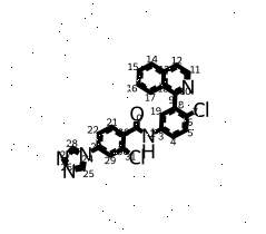 O=C(Nc1ccc(Cl)c(-c2nccc3ccccc23)c1)c1ccc(-n2cnnc2)cc1Cl